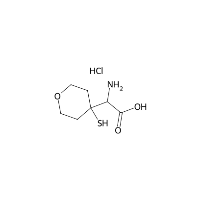 Cl.NC(C(=O)O)C1(S)CCOCC1